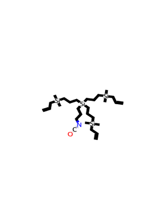 C=CC[Si](C)(C)CCC[Si](CCCN=C=O)(CCC[Si](C)(C)CC=C)CCC[Si](C)(C)CC=C